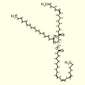 CCCCC/C=C\C/C=C\C/C=C\CCCCCCCCC(=O)OC[C@@H](COC(=O)CCCCCCC/C=C\CCCCC)OC(=O)CCCCCCCCCCCCCCCC